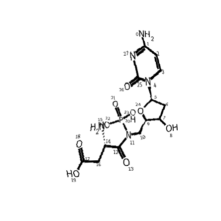 Nc1ccn([C@H]2CC(O)[C@@H](CN(C(=O)[C@@H](N)CC(=O)O)P(=O)(O)O)O2)c(=O)n1